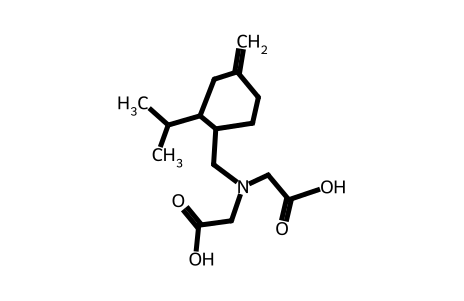 C=C1CCC(CN(CC(=O)O)CC(=O)O)C(C(C)C)C1